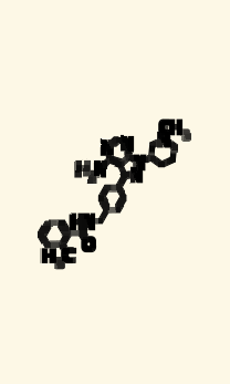 Cc1ccccc1C(=O)NCc1ccc(-c2nn(C3CCCN(C)C3)c3ncnc(N)c23)cc1